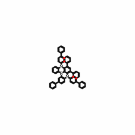 c1ccc(-c2ccc(N3c4ccccc4B4c5cc(-c6ccccc6)ccc5N(c5ccc(-c6ccccc6)cc5)c5c(-c6ccccc6)cc(-c6ccccc6)c3c54)cc2)cc1